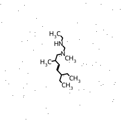 CCNCN(C)CC(C)C=CC(CC)CC